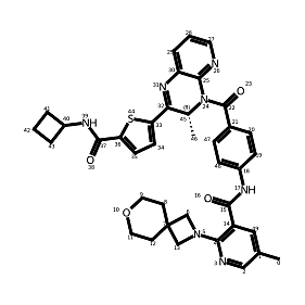 Cc1cnc(N2CC3(CCOCC3)C2)c(C(=O)Nc2ccc(C(=O)N3c4ncccc4N=C(c4ccc(C(=O)NC5CCC5)s4)[C@H]3C)cc2)c1